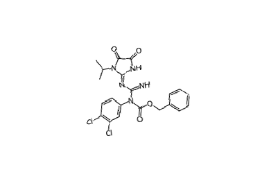 CC(C)N1C(=O)C(=O)NC1=NC(=N)N(C(=O)OCc1ccccc1)c1ccc(Cl)c(Cl)c1